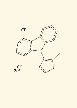 CC1=C(C2c3ccccc3-c3ccccc32)C=CC1.[Cl-].[Cl-].[Zr+2]